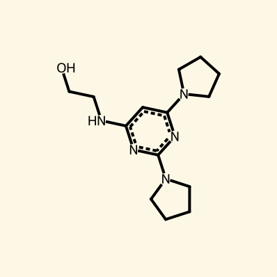 OCCNc1cc(N2CCCC2)nc(N2CCCC2)n1